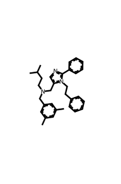 Cc1cc(C)cc(CN(CCC(C)C)Cc2cnc(-c3ccccc3)n2CCc2ccccc2)c1